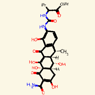 COC(=O)C(NC(=O)Nc1ccc2c(c1O)C(=O)C1=C(O)[C@]3(O)C(=O)C(C(N)=O)=C(O)C[C@@H]3[C@@H](O)[C@@H]1[C@H]2C)C(C)C